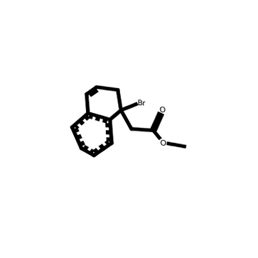 COC(=O)CC1(Br)CC=Cc2ccccc21